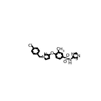 Cc1cc(S(=O)(=O)Nc2ncns2)ccc1Oc1ccn(Cc2ccc(Cl)cc2)n1